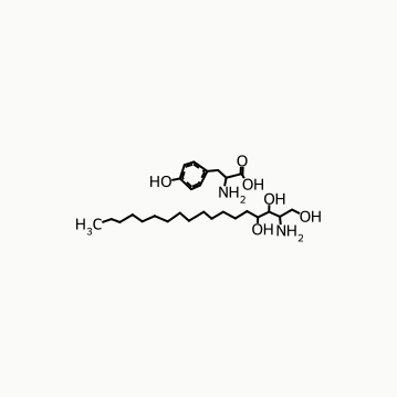 CCCCCCCCCCCCCCC(O)C(O)C(N)CO.NC(Cc1ccc(O)cc1)C(=O)O